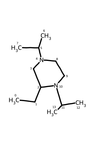 CCC1CN(C(C)C)CCN1C(C)C